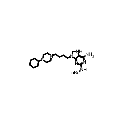 CCCCNc1nc(N)c2c(n1)N(CCCCN1CCN(C3CCCCC3)CC1)CN2